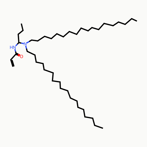 C=CC(=O)NC(CCC)N(CCCCCCCCCCCCCCCCCC)CCCCCCCCCCCCCCCCCC